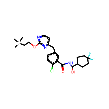 C[Si](C)(C)CCOc1nccc(Cc2ccc(Cl)c(C(=O)NC(O)C3CCC(F)(F)CC3)c2)n1